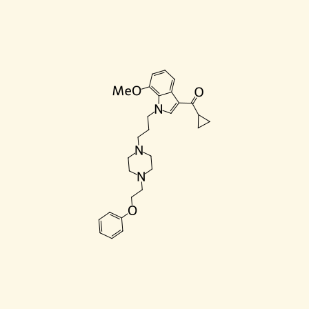 COc1cccc2c(C(=O)C3CC3)cn(CCCN3CCN(CCOc4ccccc4)CC3)c12